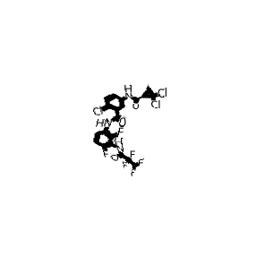 O=C(Nc1ccc(F)c(NC(=O)C(F)(F)C(F)F)c1F)c1cc(NC(=O)[C@H]2CC2(Cl)Cl)ccc1Cl